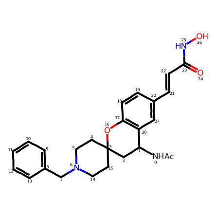 CC(=O)NC1CC2(CCN(Cc3ccccc3)CC2)Oc2ccc(/C=C/C(=O)NO)cc21